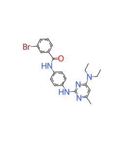 CCN(CC)c1cc(C)nc(Nc2ccc(NC(=O)c3cccc(Br)c3)cc2)n1